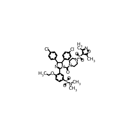 CCOc1ccc(S(=O)(=O)N(C)C)cc1C1=NC(c2ccc(Cl)cc2)C(c2ccc(Cl)cc2)N1C(=O)N1CCN(S(=O)(=O)c2c(C)noc2C)CC1